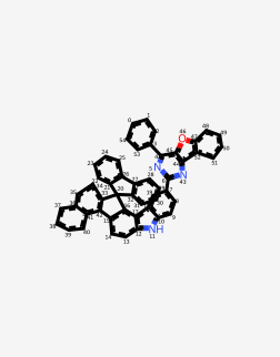 c1ccc(-c2nc(-c3ccc4[nH]c5ccc6c(c5c4c3)C3(c4ccccc4-c4ccccc43)c3ccc4ccccc4c3-6)nc3c2oc2ccccc23)cc1